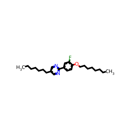 CCCCCCCCOc1ccc(-c2ncc(CCCCCCC)cn2)cc1F